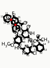 COc1cc(N2CCC(CN3CC4CC(C3)N4c3cc4c(cc3F)C(=O)N(C3CCC(=O)NC3=O)C4=O)CC2)ccc1Nc1ncc(Cl)c(Nc2ccccc2P(C)(C)=O)n1